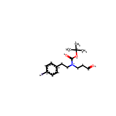 CC(C)(C)OC(=O)N(CCC=O)CCc1ccc(I)cc1